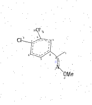 CO/N=C(\C)c1ccc(Cl)c(C(F)(F)F)c1